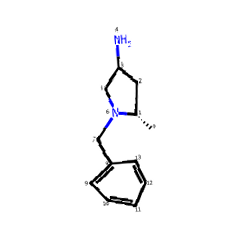 C[C@H]1CC(N)CN1Cc1ccccc1